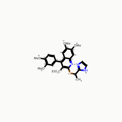 CCOC(=O)c1c(SC(C)c2ncc[nH]2)nc2cc(OC)c(OC)cc2c1-c1ccc(OC)c(OC)c1